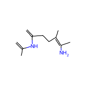 C=C(C)NC(=C)CC/C(C)=C(/C)N